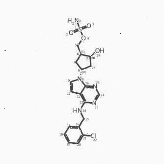 NS(=O)(=O)OC[C@@H]1C[C@@H](n2ccc3c(NCc4ccccc4Cl)ncnc32)C[C@@H]1O